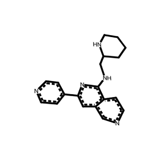 c1cc(-c2cc3cnccc3c(NCC3CCCCN3)n2)ccn1